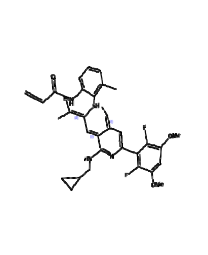 C=CC(=O)Nc1cccc(C)c1NC(/C=c1/c(NCC2CC2)nc(-c2c(F)c(OC)cc(OC)c2F)c/c1=C/C)=C(/C)CC